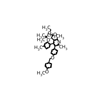 CCOC(=O)[C@@H](OC(C)(C)C)c1c(C)nc(C)c(-c2ccc(OCc3ccc(OC)cc3)cc2)c1-c1ccc(C)cc1